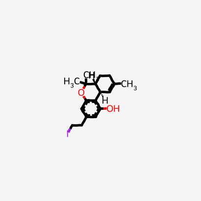 CC1=C[C@H]2c3c(O)cc(CCI)cc3OC(C)(C)[C@@H]2CC1